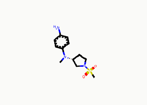 CN(c1ccc(N)cc1)[C@@H]1CCN(S(C)(=O)=O)C1